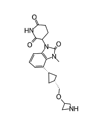 Cn1c(=O)n(C2CCC(=O)NC2=O)c2cccc([C@H]3C[C@@H](COC4CNC4)C3)c21